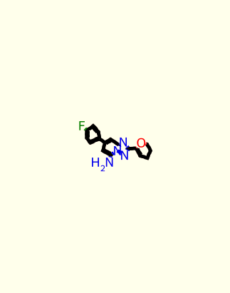 Nc1cc(-c2ccc(F)cc2)cc2nc(C3=CCCCO3)nn12